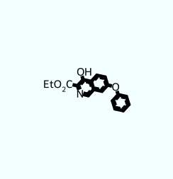 CCOC(=O)c1ncc2cc(Oc3ccccc3)ccc2c1O